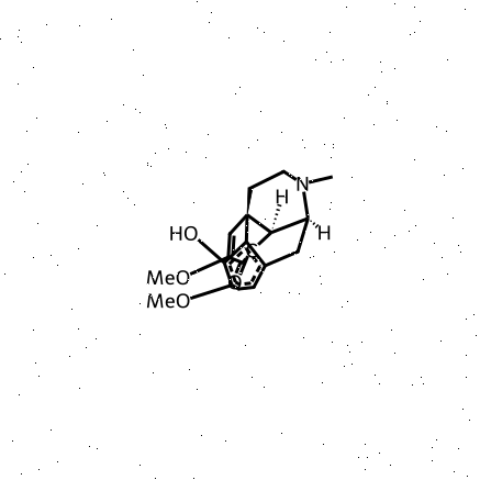 COC1=C[C@@]23CCN(C)[C@@H](Cc4ccc(OC)c(O)c42)[C@H]3CC1=O